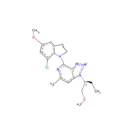 CC[C@@H](COC)n1nnc2c(N3CCc4cc(OC)cc(Cl)c43)nc(C)cc21